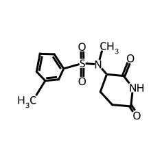 Cc1cccc(S(=O)(=O)N(C)C2CCC(=O)NC2=O)c1